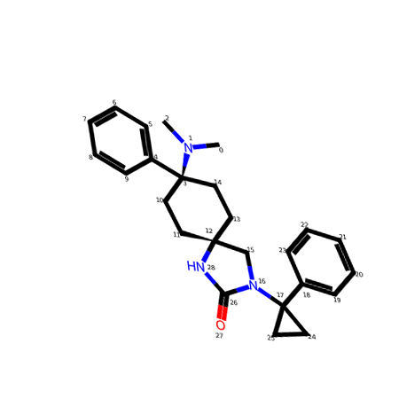 CN(C)[C@]1(c2ccccc2)CC[C@@]2(CC1)CN(C1(c3ccccc3)CC1)C(=O)N2